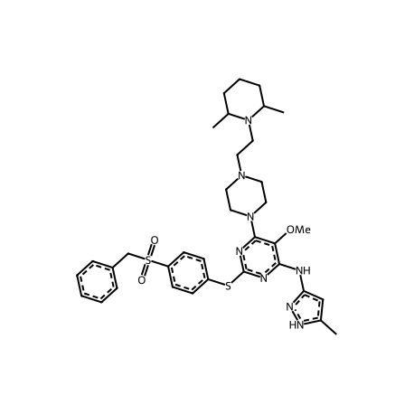 COc1c(Nc2cc(C)[nH]n2)nc(Sc2ccc(S(=O)(=O)Cc3ccccc3)cc2)nc1N1CCN(CCN2C(C)CCCC2C)CC1